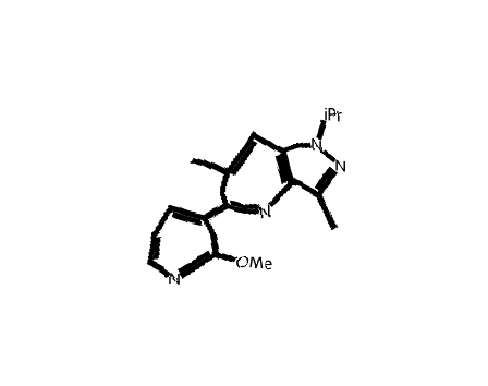 COc1ncccc1-c1nc2c(C)nn(C(C)C)c2cc1C